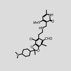 CSc1cc(C)[nH]c(=O)c1CNCCc1c(Cl)c2c(c(C)c1C=O)OC(C)(C1CCC(N(C)C)CC1)O2